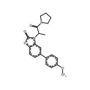 CC(C(=O)N1CCCC1)n1c(=O)oc2ccc(-c3ccc(OC(F)(F)F)cc3)cc21